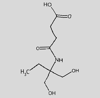 CCC(CO)(CO)NC(=O)CCC(=O)O